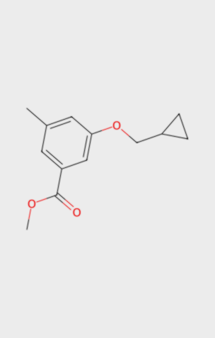 COC(=O)c1cc(C)cc(OCC2CC2)c1